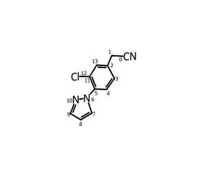 N#CCc1ccc(-n2cccn2)c(Cl)c1